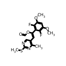 COc1cc(OC)c(F)c(/C(=C/c2cnc(SC)nc2C)OC=O)c1F